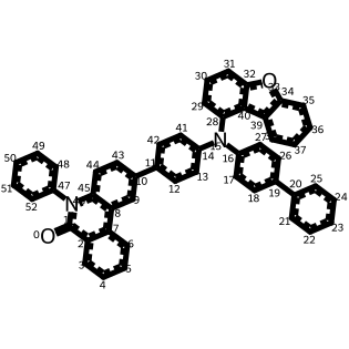 O=c1c2ccccc2c2cc(-c3ccc(N(c4ccc(-c5ccccc5)cc4)c4cccc5oc6ccccc6c45)cc3)ccc2n1-c1ccccc1